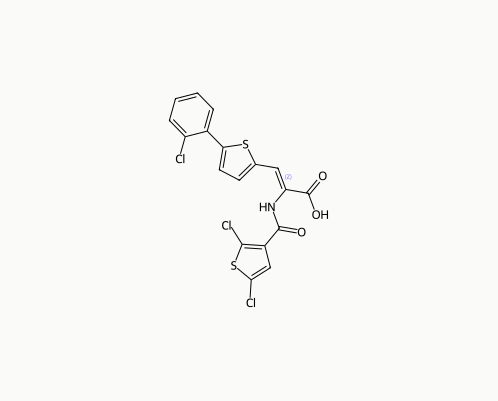 O=C(O)/C(=C/c1ccc(-c2ccccc2Cl)s1)NC(=O)c1cc(Cl)sc1Cl